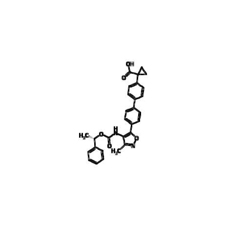 Cc1noc(-c2ccc(-c3ccc(C4(C(=O)O)CC4)cc3)cc2)c1NC(=O)O[C@@H](C)c1ccccc1